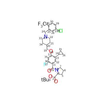 CC(C)(C)OC(=O)C1CCCN1C(=O)c1cc(C2CC2)c(OCC2CCN(Cc3cc(Cl)ccc3C(F)(F)F)CC2)cc1F